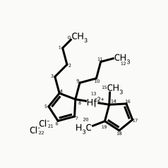 CCCCC1=CC=C[C]1(CCCC)[Hf+2][C]1(C)C=CC=C1C.[Cl-].[Cl-]